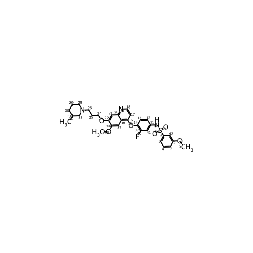 COc1cccc(S(=O)(=O)Nc2ccc(Oc3ccnc4cc(OCCCN5CCCC(C)C5)c(OC)cc34)c(F)c2)c1